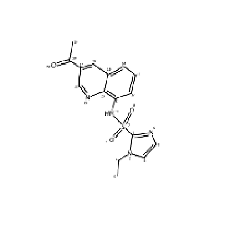 CCn1ccnc1S(=O)(=O)Nc1cccc2cc(C(C)=O)cnc12